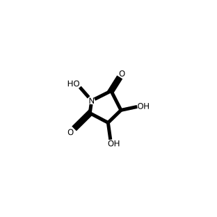 O=C1C(O)C(O)C(=O)N1O